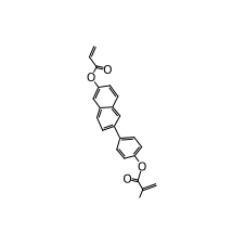 C=CC(=O)Oc1ccc2cc(-c3ccc(OC(=O)C(=C)C)cc3)ccc2c1